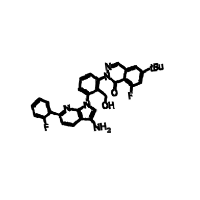 CC(C)(C)c1cc(F)c2c(=O)n(-c3cccc(-n4cc(N)c5ccc(-c6ccccc6F)nc54)c3CO)ncc2c1